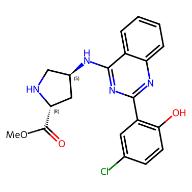 COC(=O)[C@H]1C[C@H](Nc2nc(-c3cc(Cl)ccc3O)nc3ccccc23)CN1